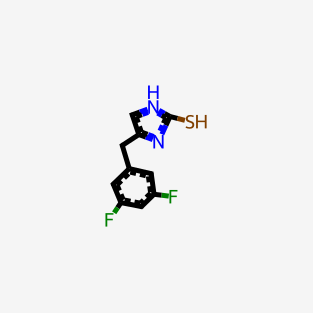 Fc1cc(F)cc(Cc2c[nH]c(S)n2)c1